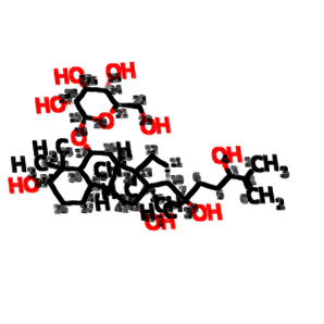 C=C(C)C(O)CC[C@](C)(O)[C@H]1CC[C@@]2(C)[C@@H]3C[C@H](O[C@@H]4O[C@H](CO)[C@@H](O)[C@H](O)[C@H]4O)C4C(C)(C)[C@@H](O)CC[C@]4(C)[C@H]3C[C@@H](O)[C@]12C